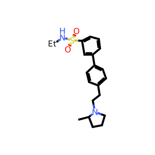 CCNS(=O)(=O)c1cccc(-c2ccc(CCN3CCCC3C)cc2)c1